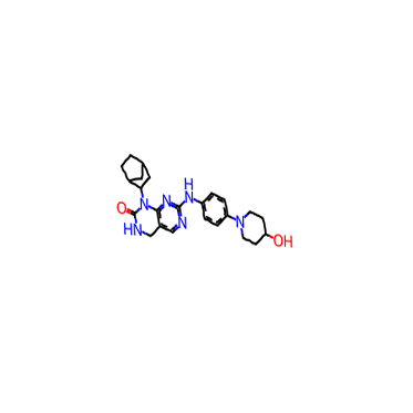 O=C1NCc2cnc(Nc3ccc(N4CCC(O)CC4)cc3)nc2N1C1CC2CCC1C2